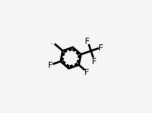 [CH2]c1cc(C(F)(F)F)c(F)cc1F